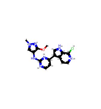 COc1nn(C)cc1Nc1nccc(-c2c[nH]c3c(Cl)nccc23)n1